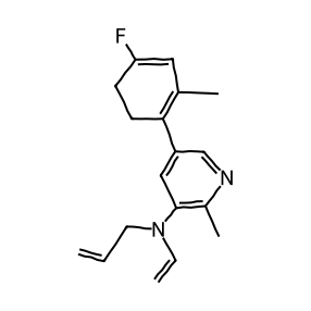 C=CCN(C=C)c1cc(C2=C(C)C=C(F)CC2)cnc1C